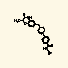 CC1Oc2ccc(CC3CCN(c4ccc(C(=O)NC5CC5)cc4)CC3)cc2NC1=O